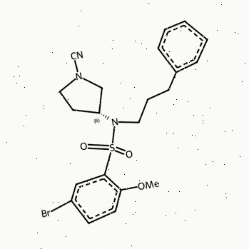 COc1ccc(Br)cc1S(=O)(=O)N(CCCc1ccccc1)[C@@H]1CCN(C#N)C1